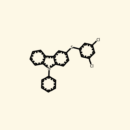 Clc1cc(Cl)cc(Sc2ccc3c(c2)c2ccccc2n3-c2ccccc2)c1